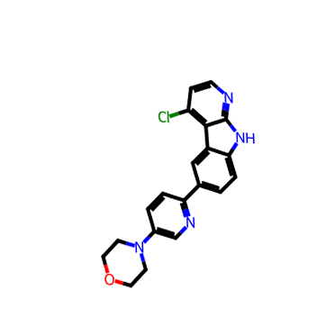 Clc1ccnc2[nH]c3ccc(-c4ccc(N5CCOCC5)cn4)cc3c12